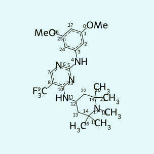 COc1cc(Nc2ncc(C(F)(F)F)c(NC3CC(C)(C)N(C)C(C)(C)C3)n2)cc(OC)c1